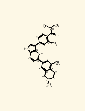 Cc1cc(-c2c[nH]c3ncc(-c4cc(C)c5c(c4)CN(C)CC5)nc23)ccc1C(=O)N(C)C